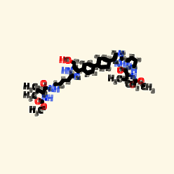 COC(=O)N[C@H](C(=O)NCCCCc1nc(-c2ccc(-c3ccc(-c4cnc([C@@H]5CCCN5C(=O)[C@@H](NC(=O)OC)C(C)C)[nH]4)cc3)cc2)c(CO)[nH]1)C(C)C